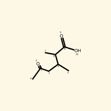 CC(=O)CC(C)C(C)C(=O)O